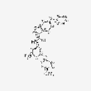 CN1CCN(Cc2cc(NC(=O)c3csc4c3CCN(Cc3cncnc3)C4)cc(C(F)(F)F)c2)CC1